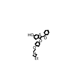 CCC1CN(CCOc2ccc(Oc3c(C(=O)c4ccccc4)sc4cc(O)ccc34)cc2)C1